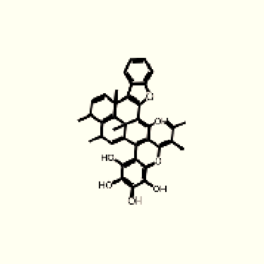 C=C(C)/C(C)=C1/Oc2c(O)c(O)c(O)c(O)c2C2=C1C(O)=C1c3oc4ccccc4c3C3(C)C=CC(C)C4=C3C1(C)C2=CC4C